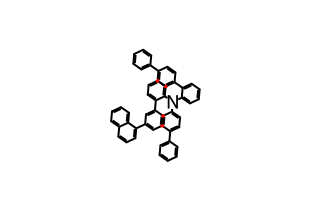 c1ccc(-c2ccc(-c3ccccc3N(c3ccc(-c4ccccc4)cc3)c3ccccc3-c3cccc(-c4cccc5ccccc45)c3)cc2)cc1